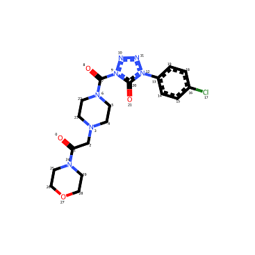 O=C(CN1CCN(C(=O)n2nnn(-c3ccc(Cl)cc3)c2=O)CC1)N1CCOCC1